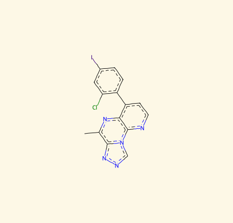 Cc1nc2c(-c3ccc(I)cc3Cl)ccnc2n2cnnc12